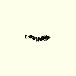 Cc1cc(C)c(S(=O)(=O)N2CCc3cc(C(=O)NCCN(Cc4ccc(Br)cc4)C(C)(C)C)ccc3C2)c(C)c1